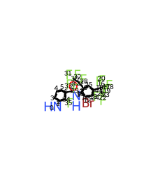 CNc1cccc(C(=O)Nc2c(Br)cc(C(F)(C(F)(F)F)C(F)(F)F)cc2C(F)(F)C(F)(F)F)c1F